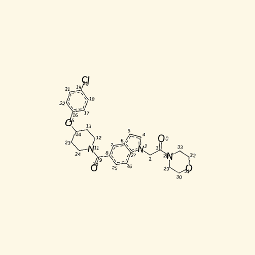 O=C(Cn1ccc2cc(C(=O)N3CCC(Oc4ccc(Cl)cc4)CC3)ccc21)N1CCOCC1